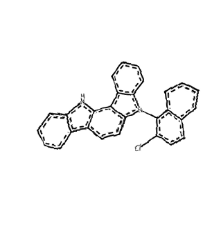 Clc1ccc2ccccc2c1-n1c2ccccc2c2c3[nH]c4ccccc4c3ccc21